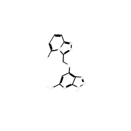 Nc1cc(OCc2nnc3cccc(Cl)n23)c2nn[nH]c2n1